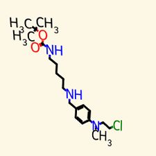 CN(CCCl)c1ccc(CNCCCCCNC(=O)OC(C)(C)C)cc1